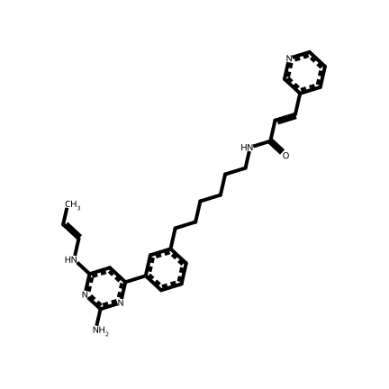 CC=CNc1cc(-c2cccc(CCCCCCNC(=O)/C=C/c3cccnc3)c2)nc(N)n1